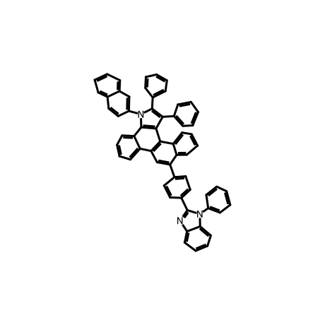 c1ccc(-c2c(-c3ccccc3)n(-c3ccc4ccccc4c3)c3c4ccccc4c4cc(-c5ccc(-c6nc7ccccc7n6-c6ccccc6)cc5)c5ccccc5c4c23)cc1